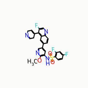 COc1ncc(-c2ccc3ncc(F)c(C4=CCN=CC4)c3c2)cc1NS(=O)(=O)c1ccc(F)cc1F